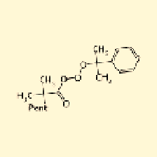 CCCC(C)C(C)(C)C(=O)OOOC(C)(C)c1ccccc1